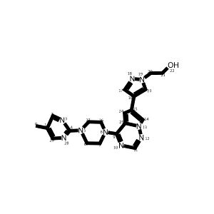 Cc1cnc(N2CCN(c3ncnn4cc(-c5cnn(CCO)c5)cc34)CC2)nc1